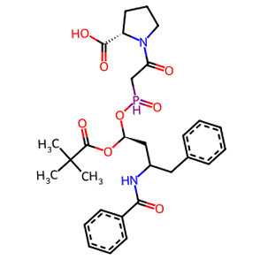 CC(C)(C)C(=O)O[C@H](CC(Cc1ccccc1)NC(=O)c1ccccc1)O[PH](=O)CC(=O)N1CCC[C@H]1C(=O)O